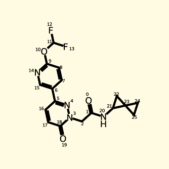 O=C(Cn1nc(-c2ccc(OC(F)F)nc2)ccc1=O)NC1CC12CC2